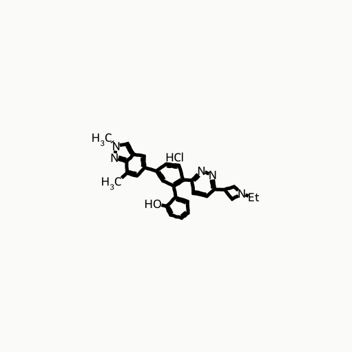 CCN1CC(c2ccc(-c3ccc(-c4cc(C)c5nn(C)cc5c4)cc3-c3ccccc3O)nn2)C1.Cl